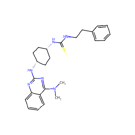 CN(C)c1nc(N[C@H]2CC[C@@H](NC(=S)NCCc3ccccc3)CC2)nc2ccccc12